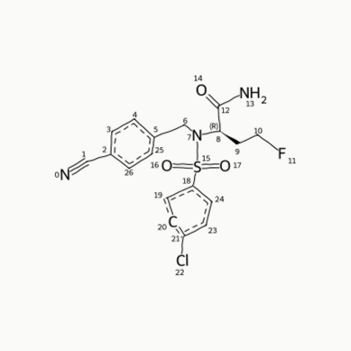 N#Cc1ccc(CN([C@H](CCF)C(N)=O)S(=O)(=O)c2ccc(Cl)cc2)cc1